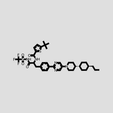 CCC[C@H]1CC[C@H](C2CCN(c3cnc(-c4ccc(CC(NC(=O)c5ccc(C(C)(C)C)s5)C(=O)NS(=O)(=O)C(F)(F)F)cc4)nc3)CC2)CC1